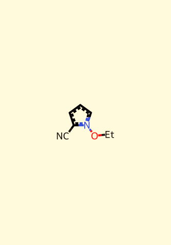 CCOn1cccc1C#N